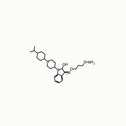 CC(C)C1CCC(N2CCC(N3c4ccccc4/C(=N/OCCCON)C3O)CC2)CC1